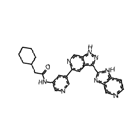 O=C(CC1CCCCC1)Nc1cncc(-c2cc3c(-c4nc5cnccc5[nH]4)n[nH]c3cn2)c1